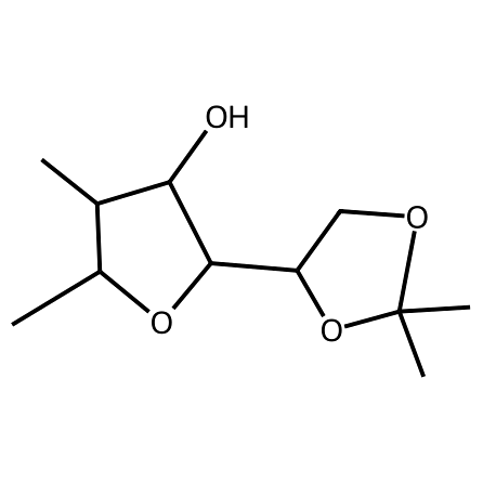 CC1OC(C2COC(C)(C)O2)C(O)C1C